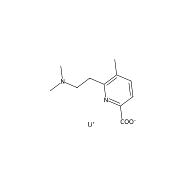 Cc1ccc(C(=O)[O-])nc1CCN(C)C.[Li+]